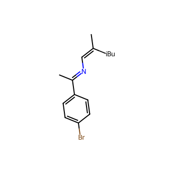 CCC(C)/C(C)=C\N=C(/C)c1ccc(Br)cc1